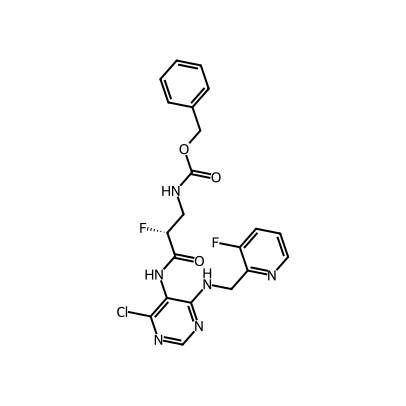 O=C(NC[C@@H](F)C(=O)Nc1c(Cl)ncnc1NCc1ncccc1F)OCc1ccccc1